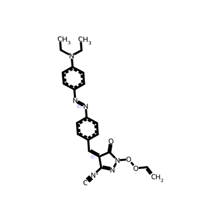 [C-]#[N+]C1=NN(OOC=C)C(=O)/C1=C\c1ccc(/N=N/c2ccc(N(CC)CC)cc2)cc1